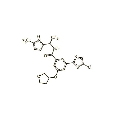 C[C@@H](NC(=O)c1cc(O[C@H]2CCOC2)cc(-c2ncc(Cl)s2)c1)c1ccc(C(F)(F)F)[nH]1